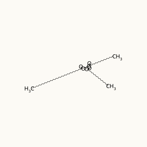 CCCCCCCCCCCCCCCCCCCCCCCCCCCCCCCCCCCC(=O)OCC(COC(=O)CCCCCCCCCCCCCCCCC)OC(=O)CCCCCCCCCCCCCCCCC